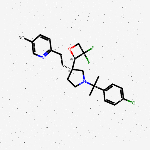 CC(C)(c1ccc(Cl)cc1)N1CC[C@@](CCc2ccc(C#N)cn2)([C@H]2OCC2(F)F)C1